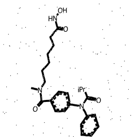 CC(C)C(=O)N(c1ccccc1)c1ccc(C(=O)N(C)CCCCCCC(=O)NO)cc1